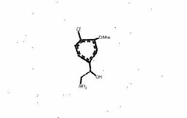 COc1cc(C(O)CN)ccc1Cl